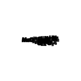 CCn1c(Oc2ccc3c(c2)NCC3)nnc1[C@@H](C)NS(=O)(=O)c1ccc(OC)cc1